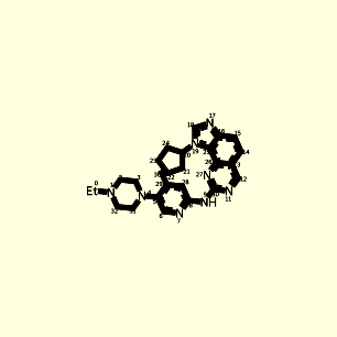 CCN1CCN(c2cnc(Nc3ncc4ccc5ncn(C6CCCC6)c5c4n3)cc2C)CC1